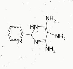 NC1=NC(c2ccccn2)NC(N)=C1N